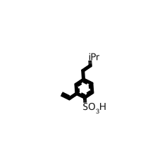 C=Cc1cc(CCC(C)C)ccc1S(=O)(=O)O